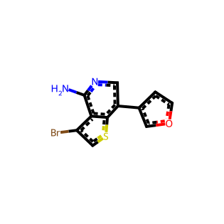 Nc1ncc(-c2ccoc2)c2scc(Br)c12